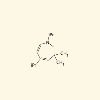 CC(C)C1=CC(C)(C)CN(C(C)C)C=C1